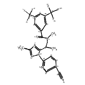 Cc1nc(C(C)N(C)C(=O)c2cc(C(F)(F)F)cc(C(F)(F)F)c2)n(-c2ccc(C#N)cn2)n1